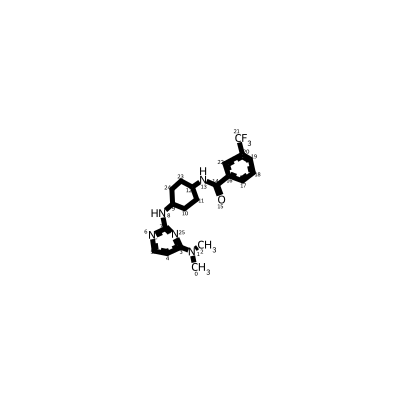 CN(C)c1ccnc(NC2CCC(NC(=O)c3cccc(C(F)(F)F)c3)CC2)n1